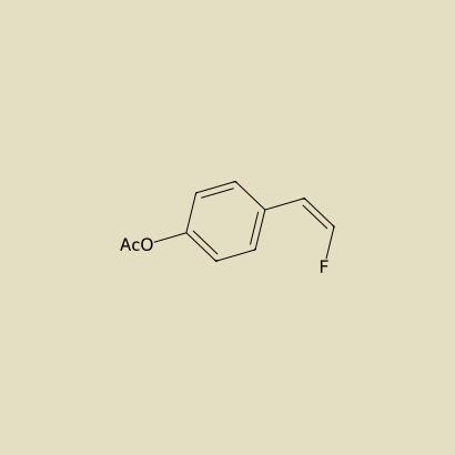 CC(=O)Oc1ccc(/C=C\F)cc1